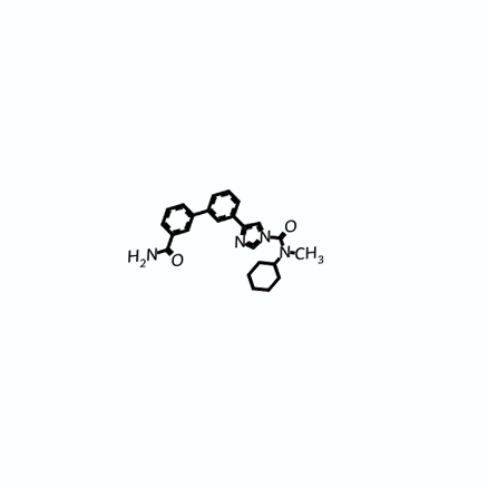 CN(C(=O)n1cnc(-c2cccc(-c3cccc(C(N)=O)c3)c2)c1)C1CCCCC1